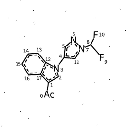 CC(=O)c1cn(-c2cnn(C(F)F)c2)c2ccccc12